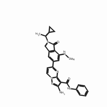 CSNc1cc(-c2ccn3nc(N)c(C(=O)Nc4ccccc4)c3n2)cc2c1C(=O)N(C(C)C1CC1)C2